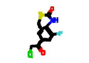 O=C1Nc2c(F)cc(C(=O)CCl)cc2CS1